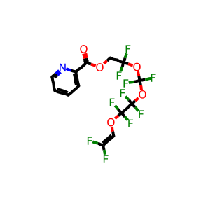 O=C(OCC(F)(F)OC(F)(F)OC(F)(F)C(F)(F)OC=C(F)F)c1ccccn1